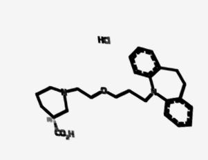 Cl.O=C(O)[C@@H]1CCCN(CCOCCCN2c3ccccc3CCc3ccccc32)C1